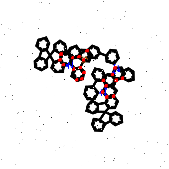 c1ccc(-c2ccccc2-c2ccccc2-c2ccccc2N(c2ccc3c(c2)c2ccccc2n3-c2cccc(-c3ccc4c(c3)sc3c(N(c5ccccc5-c5ccccc5-c5ccccc5-c5ccccc5)c5cccc6c5-c5ccccc5C65c6ccccc6-c6ccccc65)cccc34)c2)c2cccc3c2-c2ccccc2C32c3ccccc3-c3ccccc32)cc1